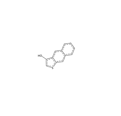 Oc1csc2cc3ccccc3cc12